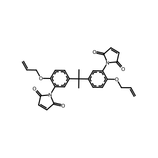 C=CCOc1ccc(C(C)(C)c2ccc(OCC=C)c(N3C(=O)C=CC3=O)c2)cc1N1C(=O)C=CC1=O